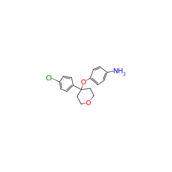 Nc1ccc(OC2(c3ccc(Cl)cc3)CCOCC2)cc1